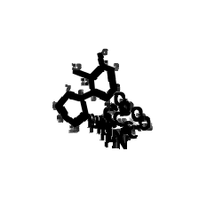 Cc1cccc(-c2ccccc2)c1C.N=C=O.N=C=O.N=C=O.N=C=O